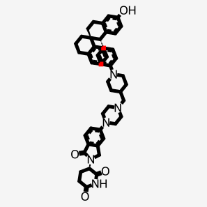 O=C1CC[C@H](N2Cc3cc(N4CCN(CC5CCN(c6ccc([C@H]7c8ccc(O)cc8CC[C@@]78CCCc7ccccc78)cc6)CC5)CC4)ccc3C2=O)C(=O)N1